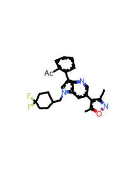 CC(=O)c1ccccc1-c1cn(CC2CCC(F)(F)CC2)c2cc(-c3c(C)noc3C)cnc12